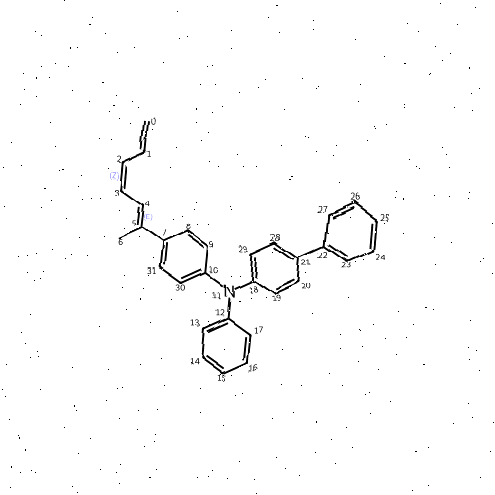 C=C/C=C\C=C(/C)c1ccc(N(c2ccccc2)c2ccc(-c3ccccc3)cc2)cc1